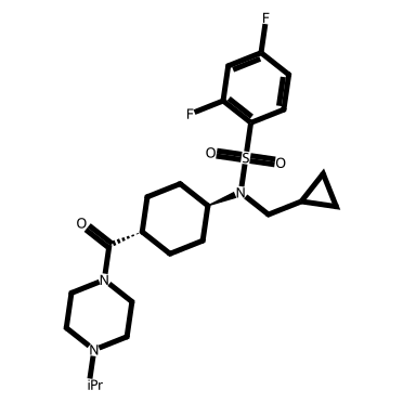 CC(C)N1CCN(C(=O)[C@H]2CC[C@H](N(CC3CC3)S(=O)(=O)c3ccc(F)cc3F)CC2)CC1